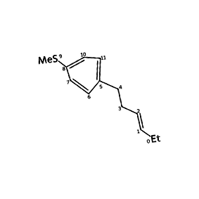 [CH2]C/C=C/CCc1ccc(SC)cc1